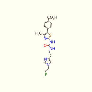 Cc1nc(NC(=O)NCCc2cn(CCF)cn2)sc1-c1ccc(C(=O)O)cc1